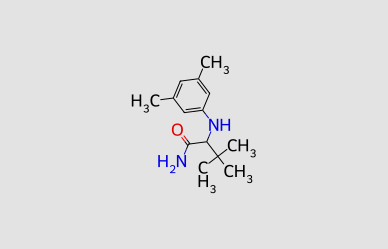 Cc1cc(C)cc(NC(C(N)=O)C(C)(C)C)c1